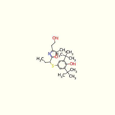 CCC(Sc1cc(C(C)(C)C)c(O)c(C(C)(C)C)c1)c1nc(CCO)c(C)o1